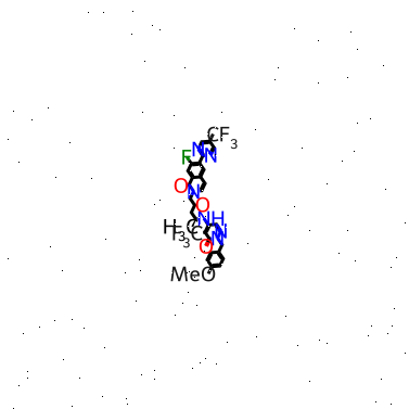 COc1ccc(Cn2ncc(N[C@@H](C)CC(=O)Cn3ccc4cc(-c5ncc(C(F)(F)F)cn5)c(F)cc4c3=O)c(C(F)(F)F)c2=O)cc1